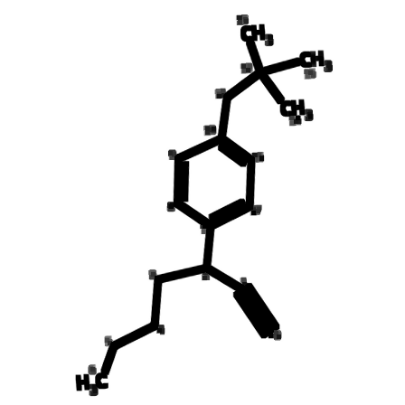 [C]#CC(CCCC)c1ccc(CC(C)(C)C)cc1